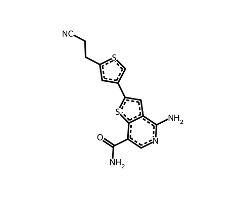 N#CCCc1cc(-c2cc3c(N)ncc(C(N)=O)c3s2)cs1